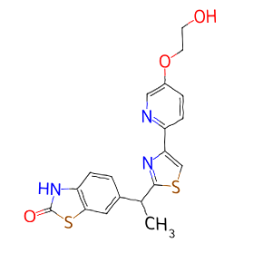 CC(c1ccc2[nH]c(=O)sc2c1)c1nc(-c2ccc(OCCO)cn2)cs1